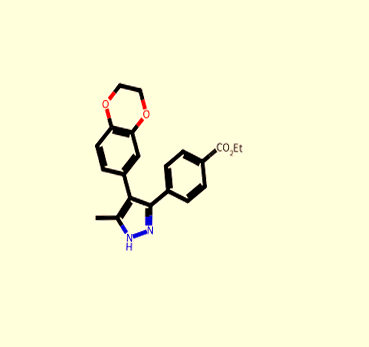 CCOC(=O)c1ccc(-c2n[nH]c(C)c2-c2ccc3c(c2)OCCO3)cc1